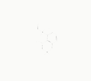 CN1CC(C)(C)Oc2cccc(C(C)(C)CBr)c21